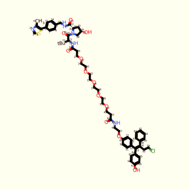 Cc1ncsc1-c1ccc(CNC(=O)[C@@H]2C[C@@H](O)CN2C(=O)C(NC(=O)CCOCCOCCOCCOCCOCCC(=O)NCCOc2ccc(C(=C(CCCl)c3ccccc3)c3ccc(O)cc3)cc2)C(C)(C)C)cc1